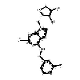 O[C@@H]1[C@H](O)CO[C@H]1Cn1cnc2c(NCc3cccc(Br)c3)nc(Cl)nc21